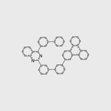 c1ccc(-c2cccc(-c3nc(-c4cccc(-c5cccc(-c6ccc7c8ccccc8c8ccccc8c7c6)c5)c4)nc4ccccc34)c2)cc1